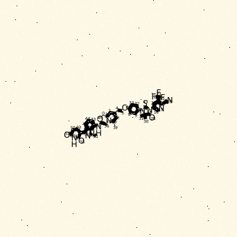 C[C@@H]1C[C@H](CCO[C@H]2CC[C@H](N3C(=S)N(c4cnc(C#N)c(C(F)(F)F)c4)C(=O)C3(C)C)CC2)C[C@H](C)N1CC(=O)Nc1cccc2c(C3CCC(=O)NC3=O)nn(C)c12